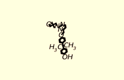 CC(C)(c1ccc(O)cc1)c1ccc(OCc2ccnc(N3CC4(COC4)C3)n2)cc1